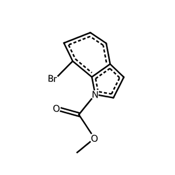 COC(=O)n1ccc2cccc(Br)c21